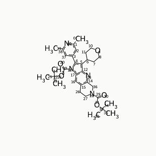 Cc1cc(-c2c(C3CCOCC3)c3nc4c(cc3n2C(=O)OC(C)(C)C)CCN(C(=O)OC(C)(C)C)C4)cc(C)n1